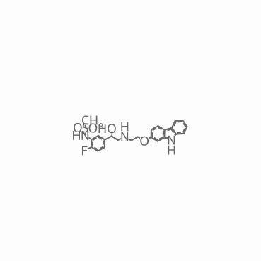 CS(=O)(=O)Nc1cc([C@H](O)CNCCOc2ccc3c(c2)[nH]c2ccccc23)ccc1F